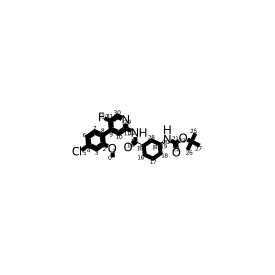 COc1cc(Cl)ccc1-c1cc(NC(=O)[C@H]2CCC[C@@H](NC(=O)OC(C)(C)C)C2)ncc1F